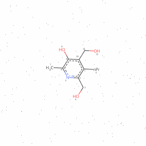 CCCc1c(CO)nc(C)c(O)c1CO